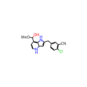 COC(O)C1=C2NC(Cc3ccc(Cl)c(C#N)c3)=CC2NC=C1